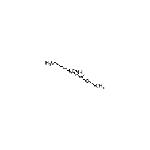 CCCCCCCCCCCCCCCCCCOCCCCC.CCN